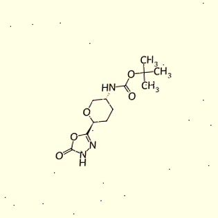 CC(C)(C)OC(=O)N[C@@H]1CC[C@@H](c2n[nH]c(=O)o2)OC1